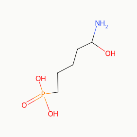 NC(O)CCCCP(=O)(O)O